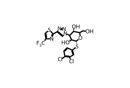 OCC1O[C@H](Sc2ccc(Cl)c(Cl)c2)C(O)C(n2cc(-c3nc(C(F)(F)F)cs3)nn2)[C@H]1O